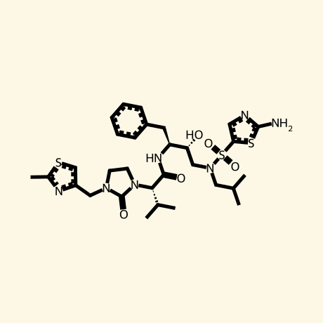 Cc1nc(CN2CCN([C@H](C(=O)N[C@@H](Cc3ccccc3)[C@H](O)CN(CC(C)C)S(=O)(=O)c3cnc(N)s3)C(C)C)C2=O)cs1